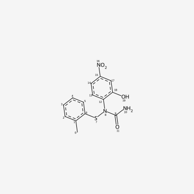 Cc1ccccc1SN(C(N)=O)c1ccc([N+](=O)[O-])cc1O